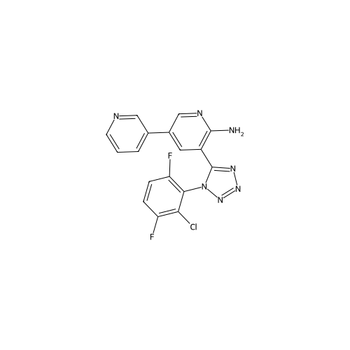 Nc1ncc(-c2cccnc2)cc1-c1nnnn1-c1c(F)ccc(F)c1Cl